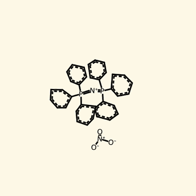 O=[N+]([O-])[O-].c1ccc(P(=[N+]=P(c2ccccc2)(c2ccccc2)c2ccccc2)(c2ccccc2)c2ccccc2)cc1